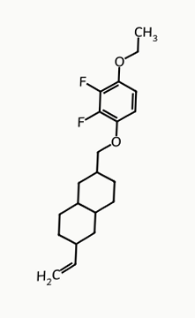 C=CC1CCC2CC(COc3ccc(OCC)c(F)c3F)CCC2C1